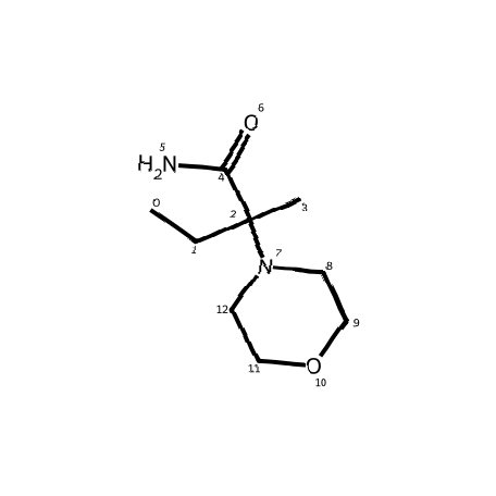 CCC(C)(C(N)=O)N1CCOCC1